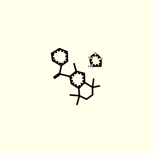 C=C(c1ccccc1)c1cc2c(cc1C)C(C)(C)CCC2(C)C.c1nnn[nH]1